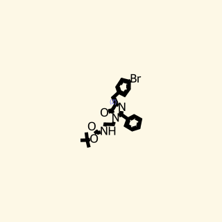 CC(C)(C)OC(=O)NCCN1C(=O)/C(=C/c2ccc(Br)cc2)N=C1c1ccccc1